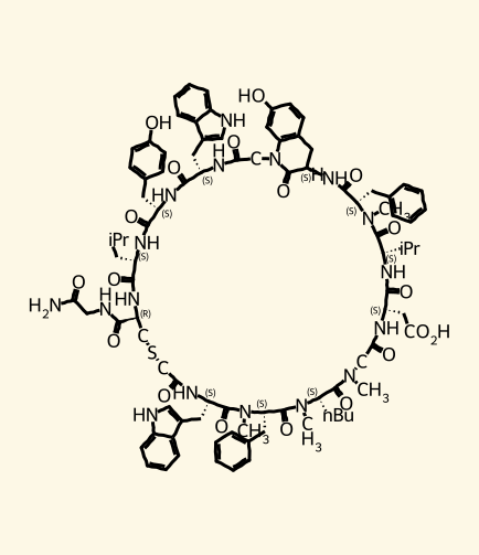 CCCC[C@H]1C(=O)N(C)CC(=O)N[C@@H](CC(=O)O)C(=O)N[C@@H](C(C)C)C(=O)N(C)[C@@H](Cc2ccccc2)C(=O)N[C@H]2Cc3ccc(O)cc3N(CC(=O)N[C@@H](Cc3c[nH]c4ccccc34)C(=O)N[C@@H](Cc3ccc(O)cc3)C(=O)N[C@@H](CC(C)C)C(=O)N[C@H](C(=O)NCC(N)=O)CSCC(=O)N[C@@H](Cc3c[nH]c4ccccc34)C(=O)N(C)[C@@H](Cc3ccccc3)C(=O)N1C)C2=O